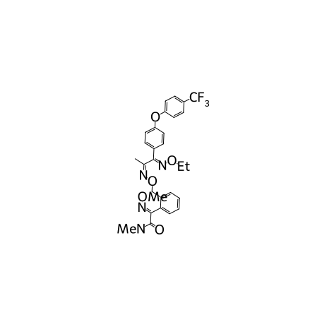 CCON=C(C(C)=NOCc1ccccc1C(=NOC)C(=O)NC)c1ccc(Oc2ccc(C(F)(F)F)cc2)cc1